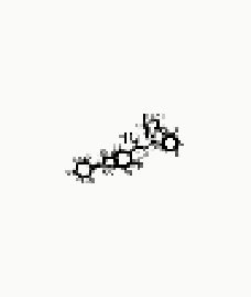 O[C@H](C[C@@H]1c2ccccc2-c2cncn21)c1cc2cc(-c3ccccc3)oc2cc1F